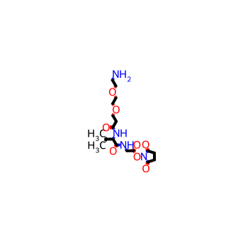 CC(C)C(NC(=O)CCOCCOCCN)C(=O)NCC(=O)ON1C(=O)CCC1=O